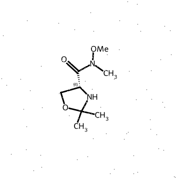 CON(C)C(=O)[C@H]1COC(C)(C)N1